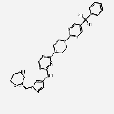 [2H]C([2H])(c1ccccc1)c1cnc(N2CCN(c3ncnc(Nc4cnn(C[C@@H]5CNCCO5)c4)n3)CC2)nc1